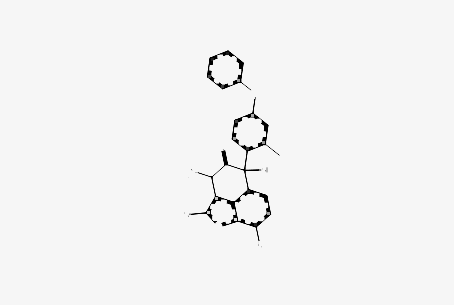 Cc1cc(Oc2ccccc2)ccc1C1(N)C(=O)C(N)c2c(N)sc3c(N)ccc1c23